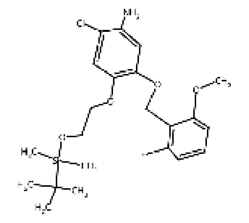 COc1cccc(F)c1COc1cc(N)c(Cl)cc1OCCO[Si](C)(C)C(C)(C)C